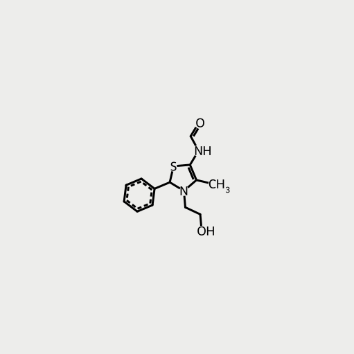 CC1=C(NC=O)SC(c2ccccc2)N1CCO